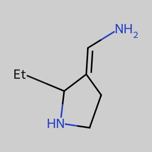 CCC1NCCC1=CN